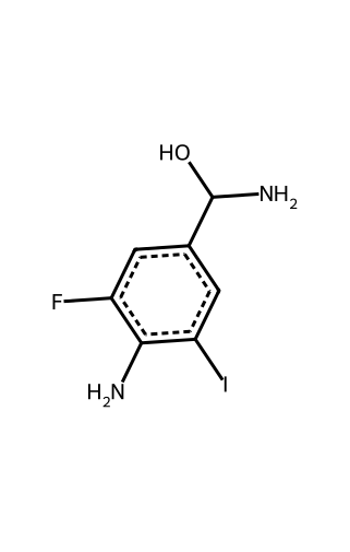 Nc1c(F)cc(C(N)O)cc1I